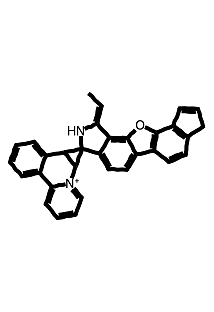 C/C=C1\NC2(c3ccc4c(oc5c6c(ccc54)CC=C6)c31)C1c3ccccc3-c3cccc[n+]3C12